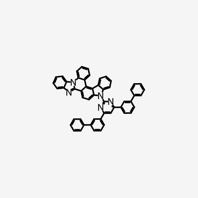 c1ccc(-c2cccc(-c3cc(-c4cccc(-c5ccccc5)c4)nc(-n4c5ccccc5c5c6c7ccccc7n7c8ccccc8nc7c6ccc54)n3)c2)cc1